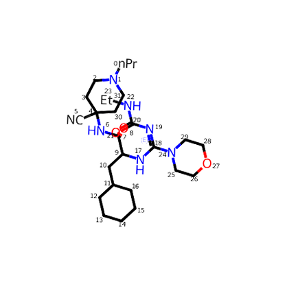 CCCN1CCC(C#N)(NC(=O)C(CC2CCCCC2)N/C(=N\C(=O)NCC)N2CCOCC2)CC1